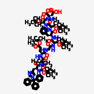 C[C@@H](OC(C)(C)C)[C@H](NC(=O)CNC(=O)[C@H](CCC(=O)OC(C)(C)C)NC(=O)C(C)(C)NC(=O)[C@H](Cc1cn(C(c2ccccc2)(c2ccccc2)c2ccccc2)cn1)NC(=O)OC(C)(C)C)C(=O)N[C@@H](Cc1ccccc1)C(=O)N[C@H](C(=O)N[C@@H](COC(C)(C)C)C(=O)N[C@@H](CC(=O)O)C(=O)O)[C@@H](C)OC(C)(C)C